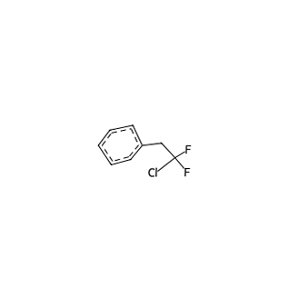 FC(F)(Cl)Cc1ccccc1